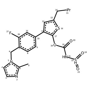 Cc1nccn1Cc1ccc(-c2cc(CC(C)C)sc2OC(=O)N[SH](=O)=O)cc1F